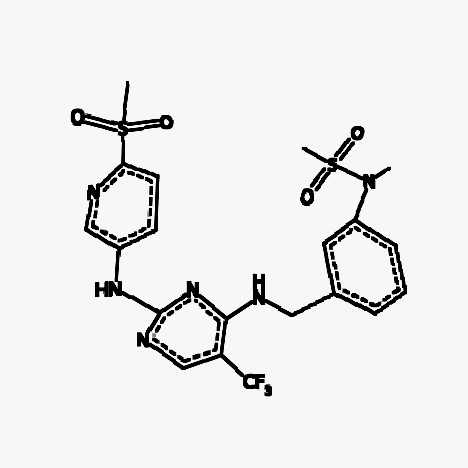 CN(c1cccc(CNc2nc(Nc3ccc(S(C)(=O)=O)nc3)ncc2C(F)(F)F)c1)S(C)(=O)=O